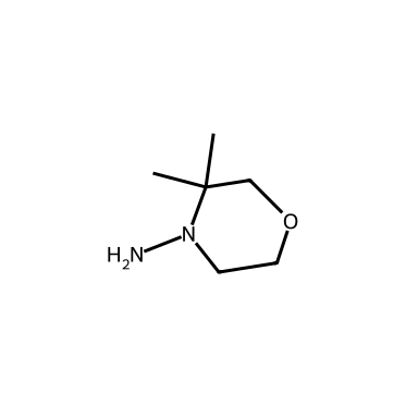 CC1(C)COCCN1N